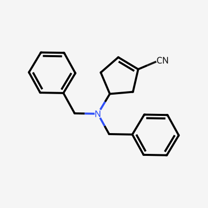 N#CC1=CCC(N(Cc2ccccc2)Cc2ccccc2)C1